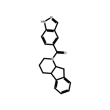 O=C(c1ccc2[nH]ncc2c1)N1CCCC2c3ccccc3CC21